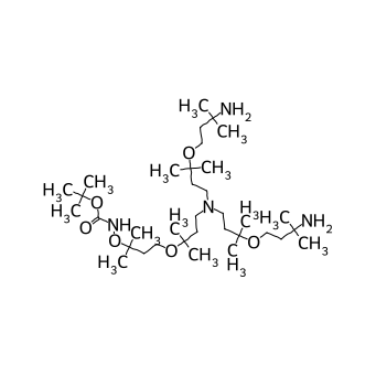 CC(C)(N)CCOC(C)(C)CCN(CCC(C)(C)OCCC(C)(C)N)CCC(C)(C)OCCC(C)(C)ONC(=O)OC(C)(C)C